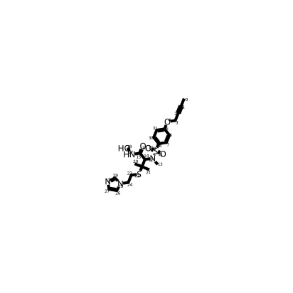 CC#CCOc1ccc(S(=O)(=O)N(C)C(C(=O)NO)C(C)(C)SCCn2ccnc2)cc1